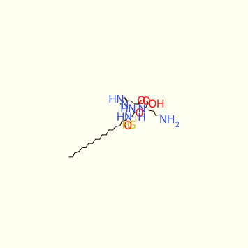 CCCCCCCCCCCCCCCCCC(=O)N[C@@H](CS)C(=O)N[C@@H](Cc1c[nH]cn1)C(=O)N[C@@H](CCCCN)C(=O)O